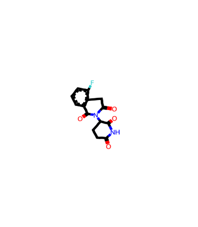 O=C1CCC(N2C(=O)Cc3c(F)cccc3C2=O)C(=O)N1